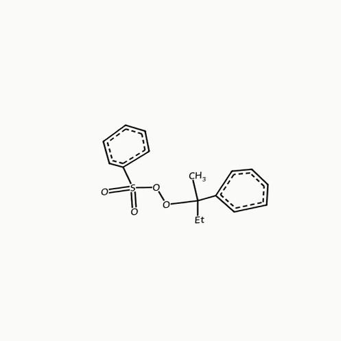 CCC(C)(OOS(=O)(=O)c1ccccc1)c1ccccc1